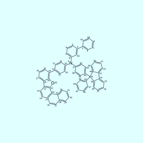 c1ccc(-c2cccc(N(c3ccc(-c4cccc5c4oc4c5ccc5ccc6ccccc6c54)cc3)c3ccc(C4(c5ccccc5)c5ccccc5-c5ccccc54)cc3)c2)cc1